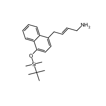 CC(C)(C)[Si](C)(C)Oc1ccc(CC=CCN)c2ccccc12